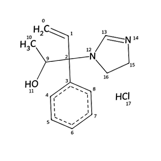 C=CC(c1ccccc1)(C(C)O)N1C=NCC1.Cl